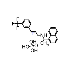 CC(NC/C=C/c1cccc(C(F)(F)F)c1)c1cccc2ccccc12.O=P(O)(O)O